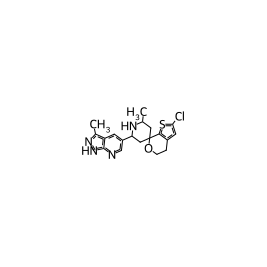 Cc1n[nH]c2ncc(C3CC4(CC(C)N3)OCCc3cc(Cl)sc34)cc12